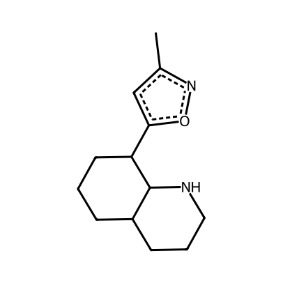 Cc1cc(C2CCCC3CCCNC32)on1